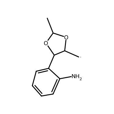 [CH2]C1OC(C)OC1c1ccccc1N